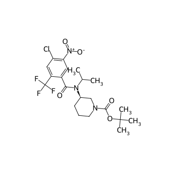 CC(C)N(C(=O)c1cc([N+](=O)[O-])c(Cl)cc1C(F)(F)F)[C@@H]1CCCN(C(=O)OC(C)(C)C)C1